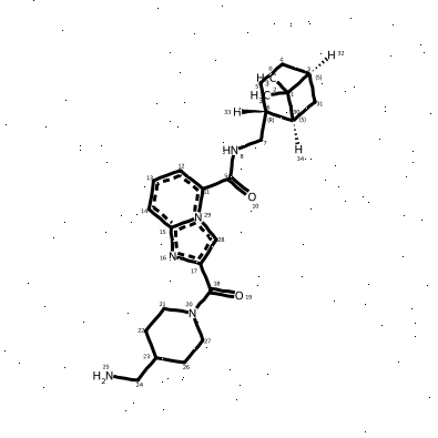 CC1(C)[C@H]2CC[C@@H](CNC(=O)c3cccc4nc(C(=O)N5CCC(CN)CC5)cn34)[C@@H]1C2